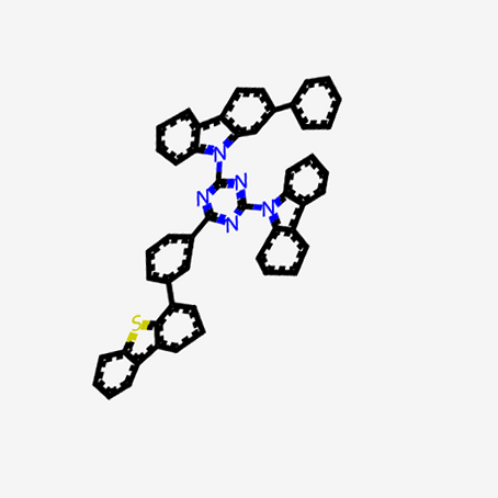 c1ccc(-c2ccc3c4ccccc4n(-c4nc(-c5cccc(-c6cccc7c6sc6ccccc67)c5)nc(-n5c6ccccc6c6ccccc65)n4)c3c2)cc1